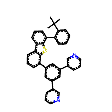 CC(C)(C)c1ccccc1-c1cccc2c1sc1c(-c3cc(-c4cccnc4)cc(-c4cccnc4)c3)cccc12